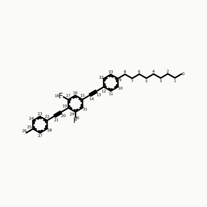 CCCCCCCCCc1ccc(C#Cc2cc(F)c(C#Cc3ccc(C)cc3)c(F)c2)cc1